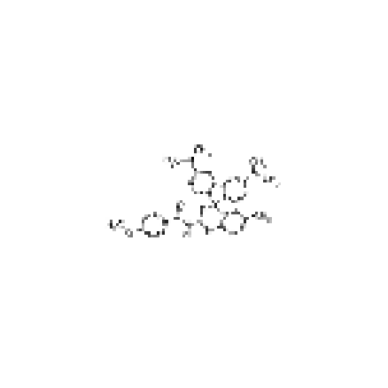 COc1ccc(C(=O)NC2=Nc3ccc(C)cc3C(c3ccc(N(C)C)cc3)(c3ccc(N(C)C)cc3)S2)cc1